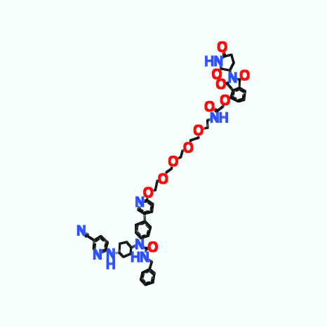 N#Cc1ccc(N[C@H]2CC[C@H](N(C(=O)NCc3ccccc3)c3ccc(-c4ccc(OCCOCCOCCOCCOCCNC(=O)COc5cccc6c5C(=O)N(C5CCC(=O)NC5=O)C6=O)nc4)cc3)CC2)nc1